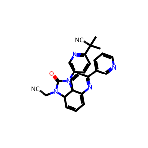 CC(C)(C#N)c1ccc(N2C(=O)N(CC#N)C3C=CC=C4N=C(c5cccnc5)C=CC432)cn1